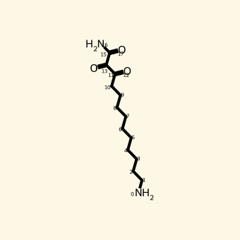 NCCCCCCCCCCC(=O)C(=O)C(N)=O